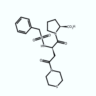 O=C(O)[C@@H]1CCCN1C(=O)[C@@H](CC(=O)N1CCSCC1)NS(=O)(=O)Cc1ccccc1